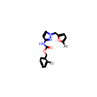 CCc1ccccc1COC(=O)Nc1ccn(Cc2ccc(C(C)=O)o2)n1